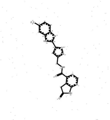 O=C1Cc2c(ncnc2C(=O)NCc2cc(-c3nc4ccc(C(F)(F)F)cc4[nH]3)on2)N1